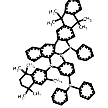 Cc1cc2c(cc1N1c3cc(N(c4ccccc4)c4ccccc4)ccc3B3c4c(cc5ccccc5c41)-c1cc4c(cc1N3c1ccccc1)C(C)(C)c1ccccc1C4(C)C)C(C)(C)CCC2(C)C